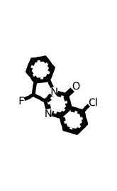 O=c1c2c(Cl)cccc2nc2n1-c1ccccc1C2F